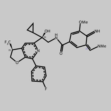 CN/C=C1/C=C(C(=O)NC[C@](O)(c2cc3c(c(-c4ccc(F)cc4)n2)OC[C@H]3C(F)(F)F)C2CC2)C=C(OC)C1=N